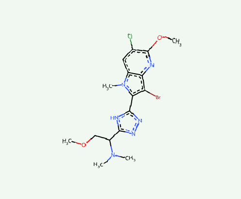 COCC(c1nnc(-c2c(Br)c3nc(OC)c(Cl)cc3n2C)[nH]1)N(C)C